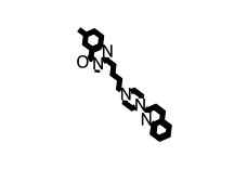 CC1CCc2nc(CCCCN3CCN(c4ccc5ccccc5n4)CC3)n(C)c(=O)c2C1